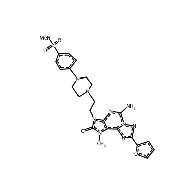 CNS(=O)(=O)c1ccc(N2CCN(CCn3c(=O)n(C)c4c3nc(N)n3nc(-c5ccco5)nc43)CC2)cc1